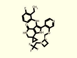 CCc1c(F)cccc1Nc1c(-c2ccncc2OC[C@H]2CCN2CC(F)(F)F)[nH]c2c1C(=O)NCC21CC1